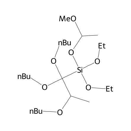 CCCCOC(C)C(OCCCC)(OCCCC)[Si](OCC)(OCC)OC(C)OC